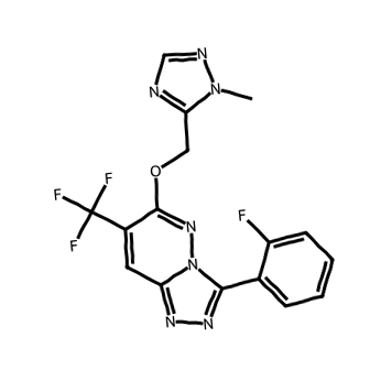 Cn1ncnc1COc1nn2c(-c3ccccc3F)nnc2cc1C(F)(F)F